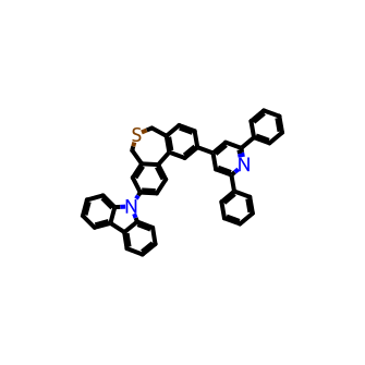 c1ccc(-c2cc(-c3ccc4c(c3)-c3ccc(-n5c6ccccc6c6ccccc65)cc3CSC4)cc(-c3ccccc3)n2)cc1